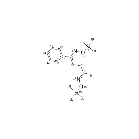 CC(CCC(=NO[Si](C)(C)C)c1ccccc1)=NO[Si](C)(C)C